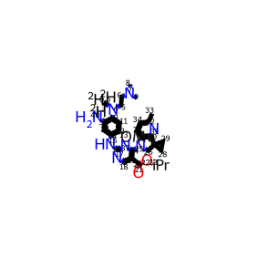 [2H]C([2H])([2H])N(CCN(C)C)c1cc(OC)c(Nc2ncc(C(=O)OC(C)C)c(N3CC4(CC4)c4nc(C)ccc43)n2)cc1N